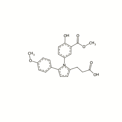 COC(=O)c1cc(-n2c(CCC(=O)O)ccc2-c2ccc(OC)cc2)ccc1O